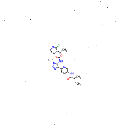 C=C(CC)C(=O)Nc1ccc(-c2nnn(C)c2NC(=O)O[C@H](C)c2cccnc2Cl)nc1